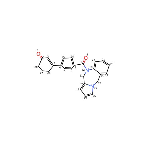 O=C1C=C(c2ccc(C(=O)N3Cc4cccn4Cc4ccccc43)cc2)CCC1